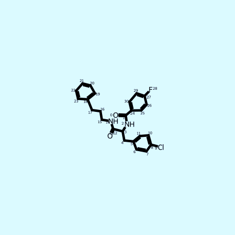 O=C(NC(Cc1ccc(Cl)cc1)C(=O)NCCCc1ccccc1)c1ccc(F)cc1